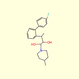 CC1CCN(C(O)C(O)C(C)c2ccccc2-c2ccc(F)cc2)CC1